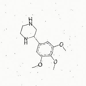 COc1cc(C2CNCCN2)cc(OC)c1OC